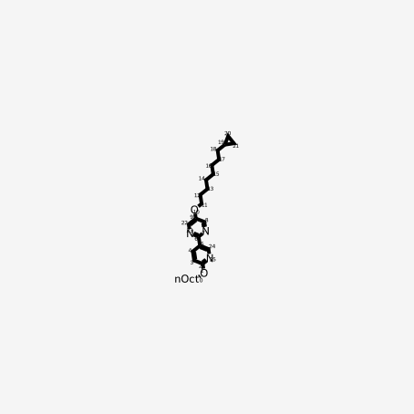 CCCCCCCCOc1ccc(-c2ncc(OCCCCCCCCC3CC3)cn2)cn1